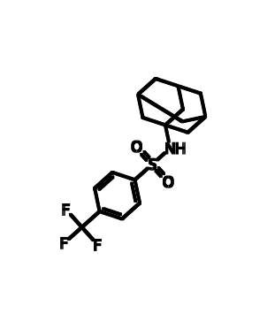 O=S(=O)(NC12CC3CC(CC(C3)C1)C2)c1ccc(C(F)(F)F)cc1